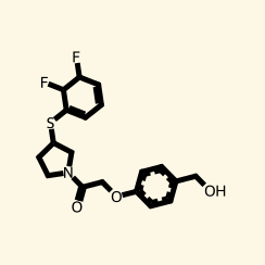 O=C(COc1ccc(CO)cc1)N1CCC(SC2=CC=CC(F)C2F)C1